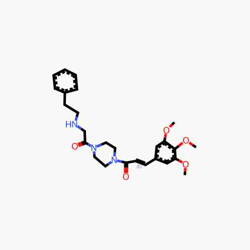 COc1cc(/C=C/C(=O)N2CCN(C(=O)CNCCc3ccccc3)CC2)cc(OC)c1OC